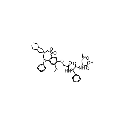 CCCCC1(CCCC)CN(c2ccccc2)c2cc(SC)c(OCC(=O)N[C@@H](C(=O)NC(C[S+](C)[O-])C(=O)O)c3ccccc3)cc2S(=O)(=O)C1